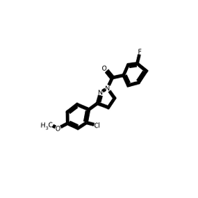 COc1ccc(C2=NN(C(=O)c3cccc(F)c3)CC2)c(Cl)c1